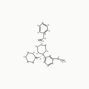 COc1cccc([C@]2(CN3CCCCC3)CC[C@@H](NCc3ccccc3)CC2)c1